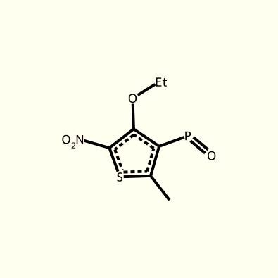 CCOc1c([N+](=O)[O-])sc(C)c1P=O